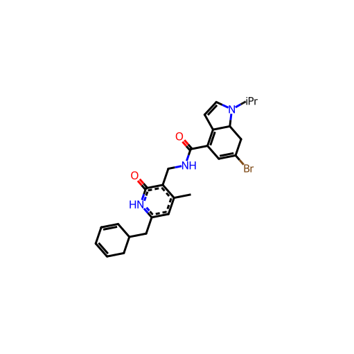 Cc1cc(CC2C=CC=CC2)[nH]c(=O)c1CNC(=O)C1=C2C=CN(C(C)C)C2CC(Br)=C1